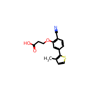 Cc1ccsc1-c1ccc(C#N)c(OCCC(=O)O)c1